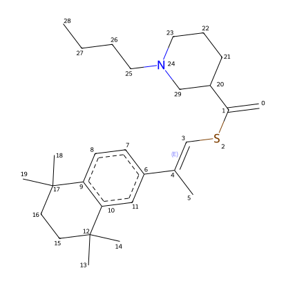 C=C(S/C=C(\C)c1ccc2c(c1)C(C)(C)CCC2(C)C)C1CCCN(CCCC)C1